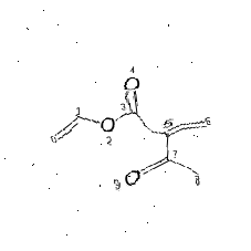 C=COC(=O)C(=C)C(C)=O